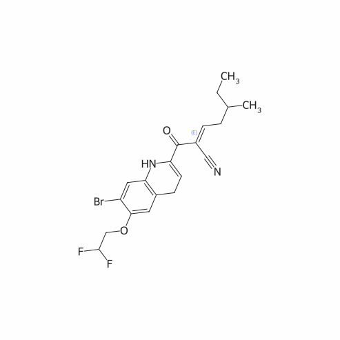 CCC(C)C/C=C(\C#N)C(=O)C1=CCc2cc(OCC(F)F)c(Br)cc2N1